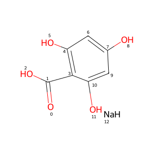 O=C(O)c1c(O)cc(O)cc1O.[NaH]